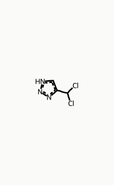 ClC(Cl)c1c[nH]nn1